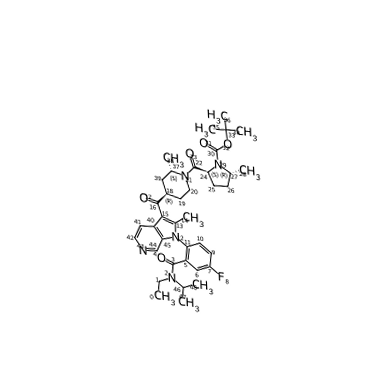 CCN(C(=O)c1cc(F)ccc1-n1c(C)c(C(=O)[C@@H]2CCN(C(=O)[C@@H]3CC[C@@H](C)N3C(=O)OC(C)(C)C)[C@@H](C)C2)c2ccncc21)C(C)C